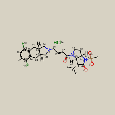 CC(C)[C@H]1C(=O)N(S(C)(=O)=O)[C@H]2CCN(C(=O)/C=C/CN3C[C@H]4Cc5c(F)ccc(F)c5C[C@@H]4C3)[C@H]12.Cl